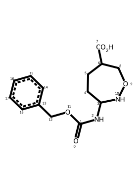 O=C(NC1CCC(C(=O)O)CON1)OCc1ccccc1